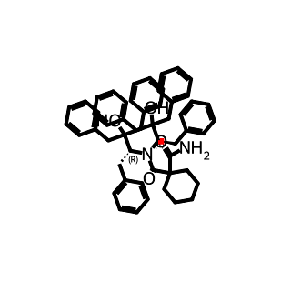 NC(=O)C1(C(=O)N([C@H](Cc2ccccc2)C(O)(Cc2ccccc2)Cc2ccccc2)[C@H](Cc2ccccc2)C(O)(Cc2ccccc2)Cc2ccccc2)CCCCC1